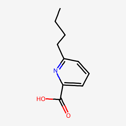 CCCCc1cccc(C(=O)O)n1